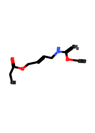 C=C(NCC=CCOC(=O)CC#N)OC=O